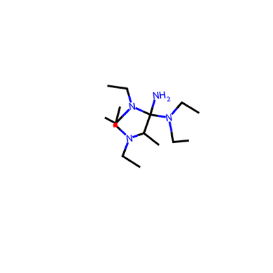 CCN(CC)C(C)C(N)(N(CC)CC)N(CC)CC